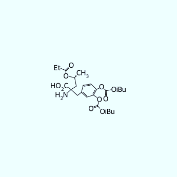 CCC(=O)O[C@@H](C)CC(N)(Cc1ccc(OC(=O)OCC(C)C)c(OC(=O)OCC(C)C)c1)C(=O)O